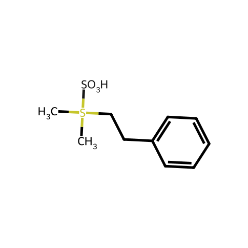 CS(C)(CCc1ccccc1)S(=O)(=O)O